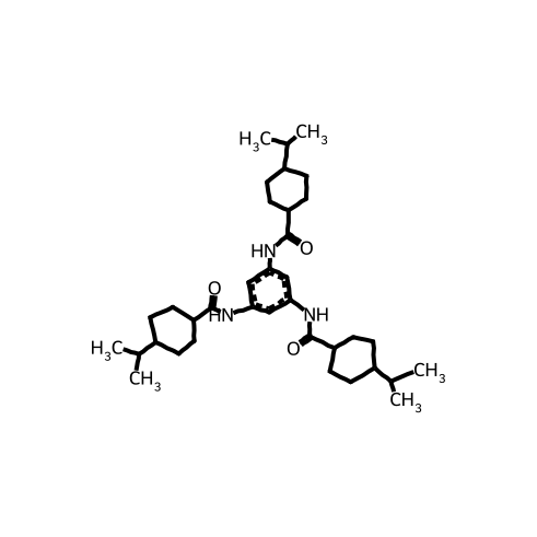 CC(C)C1CCC(C(=O)Nc2cc(NC(=O)C3CCC(C(C)C)CC3)cc(NC(=O)C3CCC(C(C)C)CC3)c2)CC1